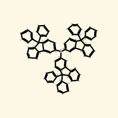 c1ccc(C2(c3ccccc3)c3ccccc3-c3cc(N(c4ccc5c(c4)-c4ccccc4C5(c4ccccc4)c4ccccc4)c4ccc5c(c4)-c4ccccc4C5(c4ccccc4)c4ccccc4)ccc32)cc1